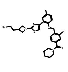 Cc1ccc(OCc2ccc(C(=O)N3CCCCC3)cc2C)c(-c2csc(N3CC(CCO)C3)n2)c1